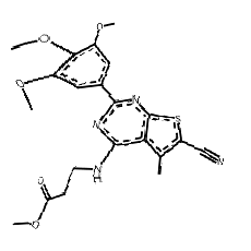 COC(=O)CCNc1nc(-c2cc(OC)c(OC)c(OC)c2)nc2sc(C#N)c(C)c12